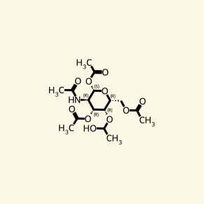 CC(=O)N[C@H]1[C@H](OC(C)=O)O[C@H](COC(C)=O)[C@H](OC(C)O)[C@@H]1OC(C)=O